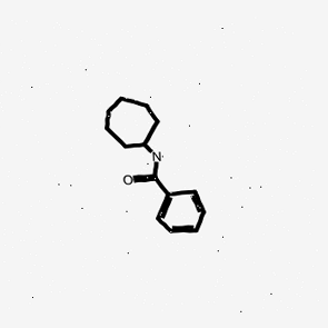 O=C([N]C1CCCCCC1)c1ccccc1